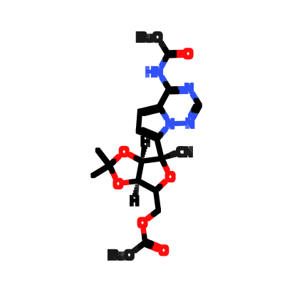 CC(C)COC(=O)Nc1ncnn2c([C@]3(C#N)OC(COC(=O)OCC(C)C)[C@H]4OC(C)(C)O[C@H]43)ccc12